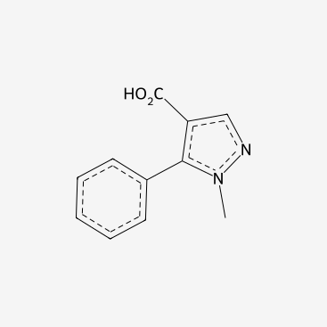 Cn1ncc(C(=O)O)c1-c1ccccc1